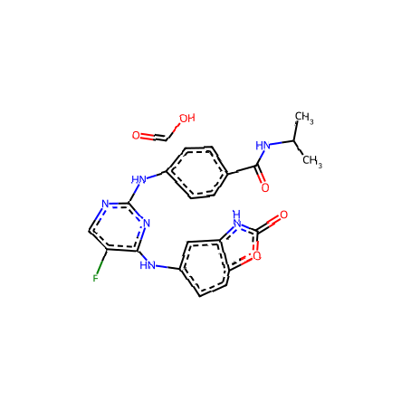 CC(C)NC(=O)c1ccc(Nc2ncc(F)c(Nc3ccc4oc(=O)[nH]c4c3)n2)cc1.O=CO